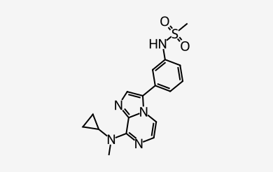 CN(c1nccn2c(-c3cccc(NS(C)(=O)=O)c3)cnc12)C1CC1